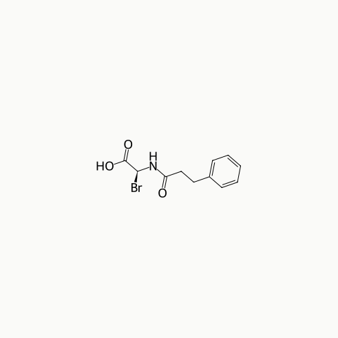 O=C(CCc1ccccc1)N[C@@H](Br)C(=O)O